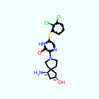 N[C@@H]1C[C@H](O)CC12CCN(c1ncc(Sc3cccc(Cl)c3Cl)[nH]c1=O)CC2